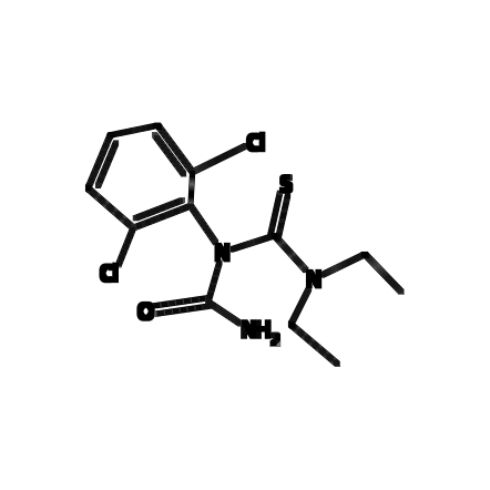 CCN(CC)C(=S)N(C(N)=O)c1c(Cl)cccc1Cl